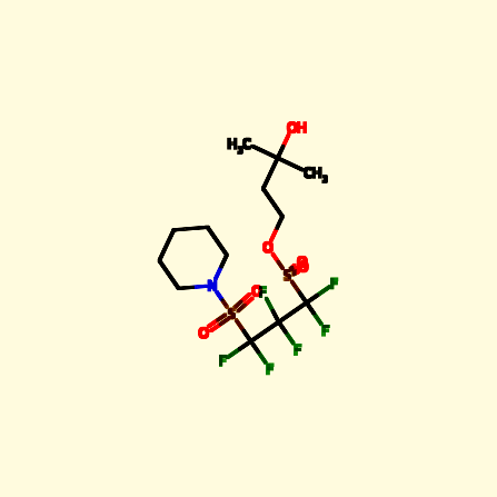 CC(C)(O)CCOS(=O)(=O)C(F)(F)C(F)(F)C(F)(F)S(=O)(=O)N1CCCCC1